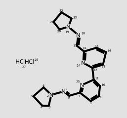 C(=NN1CCCC1)c1cccc(-c2cccc(C=NN3CCCC3)n2)n1.Cl.Cl